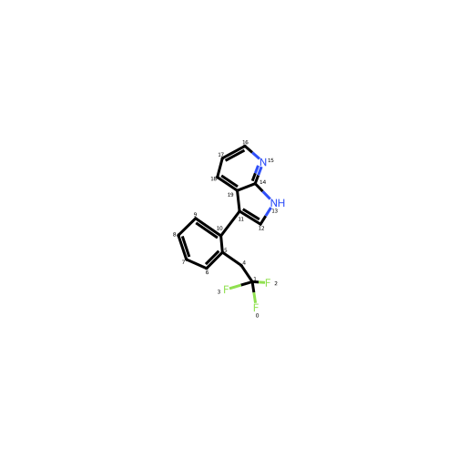 FC(F)(F)Cc1ccccc1-c1c[nH]c2ncccc12